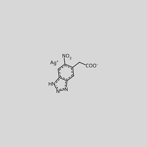 O=C([O-])Cc1cc2nn[nH]c2cc1[N+](=O)[O-].[Ag+]